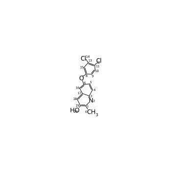 Cc1nc2ccc(Oc3ccc(Cl)c(Cl)c3)cc2cc1O